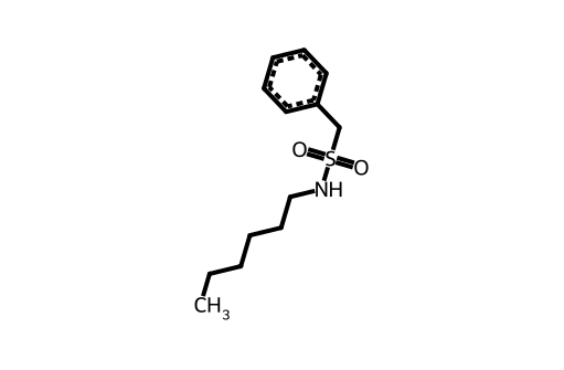 CCCCCCNS(=O)(=O)Cc1ccccc1